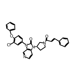 O=C(C=Cc1ccccc1)N1CC[C@@H](n2c(=O)n(-c3ccc(Oc4ccccc4)c(Cl)c3)c3cnccc32)C1